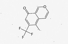 [CH2]c1c2ccocc-2c(=O)cc1C(F)(F)F